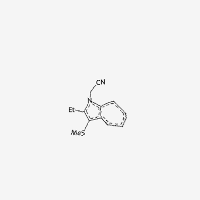 CCc1c(SC)c2ccccc2n1CC#N